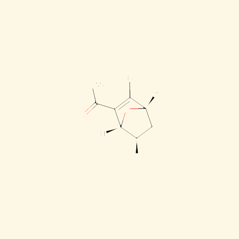 COC(=O)C1=C(Br)[C@@H]2C[C@@H](C)[C@H]1O2